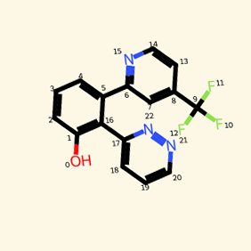 Oc1cccc(-c2cc(C(F)(F)F)ccn2)c1-c1cccnn1